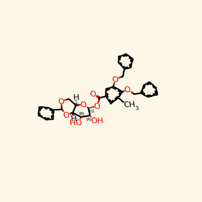 Cc1cc(C(=O)O[C@@H]2O[C@@H]3COC(c4ccccc4)O[C@H]3[C@H](O)[C@H]2O)cc(OCc2ccccc2)c1OCc1ccccc1